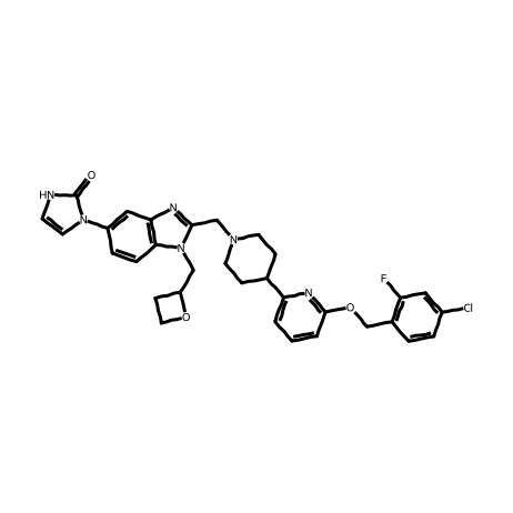 O=c1[nH]ccn1-c1ccc2c(c1)nc(CN1CCC(c3cccc(OCc4ccc(Cl)cc4F)n3)CC1)n2CC1CCO1